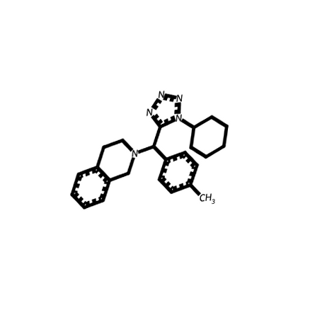 Cc1ccc(C(c2nnnn2C2CCCCC2)N2CCc3ccccc3C2)cc1